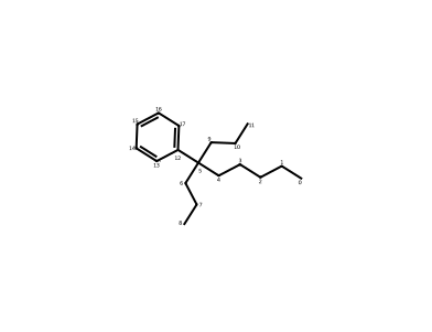 CCCCCC(CCC)(CCC)c1[c]cccc1